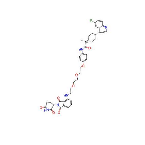 C[C@@H](C(=O)Nc1ccc(OCCOCCOCCNc2cccc3c2C(=O)N(C2CCC(=O)NC2=O)C3=O)cc1)[C@H]1CC[C@@H](c2ccnc3ccc(F)cc32)CC1